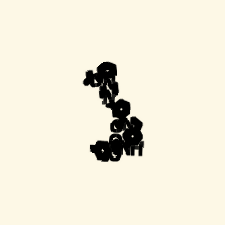 Cc1ccc(OC(=O)Nc2ccc3c(c2)N(C(=O)c2cccc(CN4CCN(c5ccccc5OC(C)C)CC4)c2)CC3)cc1